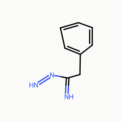 N=NC(=N)Cc1ccccc1